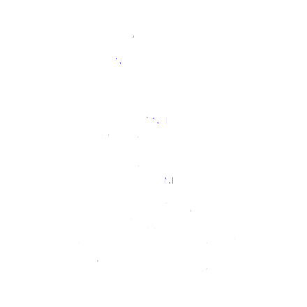 CCc1ncccc1NC(=O)C(CCC1CC1)NC(=O)OC(C)(C)C